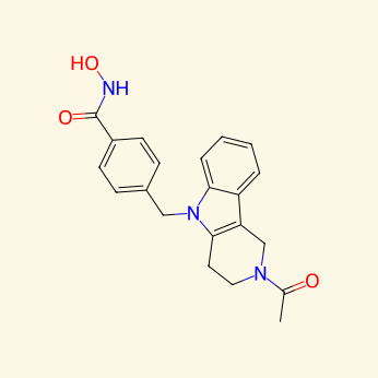 CC(=O)N1CCc2c(c3ccccc3n2Cc2ccc(C(=O)NO)cc2)C1